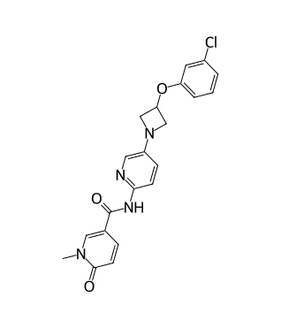 Cn1cc(C(=O)Nc2ccc(N3CC(Oc4cccc(Cl)c4)C3)cn2)ccc1=O